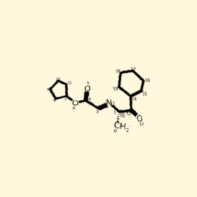 [CH2][C@H](N=CC(=O)OC1CCCC1)C(=O)C1CCCCC1